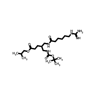 CC(C)COC(=O)CCC(CNC(=O)CCCCCNC(=N)N)CNC(=O)OC(C)(C)C